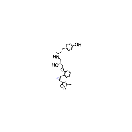 Cc1cc(/C=C\c2ccccc2OCC(O)CNC(C)CCc2ccc(O)cc2)on1